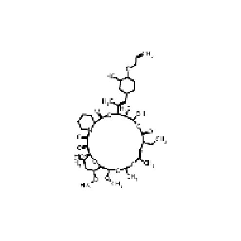 C=CCOC1CCC(C=C(C)C2OC(=O)C3CCCCN3C(=O)C(=O)C3(O)OC(C(OC)CC(C)C/C(C)=C/C(CC)C(=O)CC(O)C2C)C(OC)CC3C)CC1O